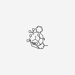 C.Cc1cc2c3c4c1N(Cc1ccccc1S(=O)(=O)OCC(C2)O3)C(=O)C4(O)C(C)C